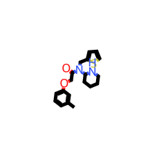 Cc1cccc(OCC(=O)N(Cc2cccs2)C2CCCCN2)c1